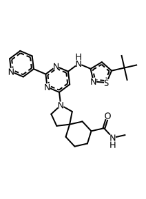 CNC(=O)C1CCCC2(CCN(c3cc(Nc4cc(C(C)(C)C)sn4)nc(-c4cccnc4)n3)C2)C1